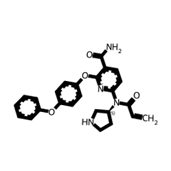 C=CC(=O)N(c1ccc(C(N)=O)c(Oc2ccc(Oc3ccccc3)cc2)n1)[C@H]1CCNC1